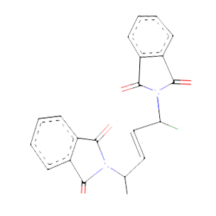 CC(/C=C/C(F)N1C(=O)c2ccccc2C1=O)N1C(=O)c2ccccc2C1=O